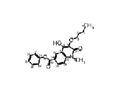 CCCCOc1c(O)c2cc(C(=O)Oc3ccccc3)ccc2n(C)c1=O